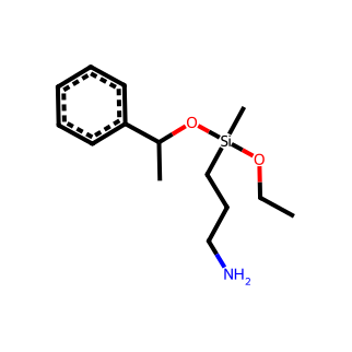 CCO[Si](C)(CCCN)OC(C)c1ccccc1